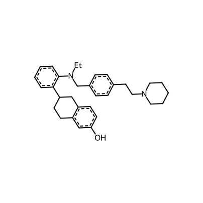 CCN(Cc1ccc(CCN2CCCCC2)cc1)c1ccccc1C1CCc2cc(O)ccc2C1